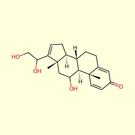 C[C@]12C=CC(=O)C=C1CC[C@@H]1[C@@H]2C(O)C[C@]2(C)C(C(O)CO)=CC[C@@H]12